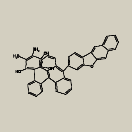 Bc1c(B)c(O)c(-c2ccccc2-c2c3ccccc3c(-c3ccc4c(c3)oc3cc5ccccc5cc34)c3ccccc23)c(O)c1O